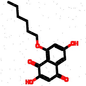 CCCCCCOc1cc(O)cc2c1C(=O)C(O)=CC2=O